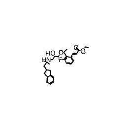 CCOC(=O)/C=C/c1cccc(F)c1C(C)OC[C@H](O)CNC(C)(C)CC1Cc2ccccc2C1